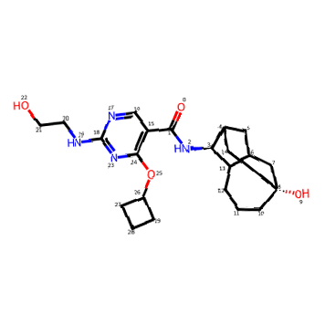 O=C(N[C@H]1C2CC3C[C@@](O)(CCCC31)C2)c1cnc(NCCO)nc1OC1CCC1